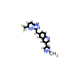 Cn1cc(-c2cnc3ccc(Cc4nnc5ccc(C(F)F)nn45)cc3c2)cn1